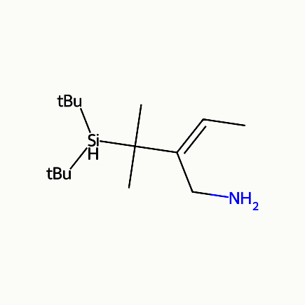 CC=C(CN)C(C)(C)[SiH](C(C)(C)C)C(C)(C)C